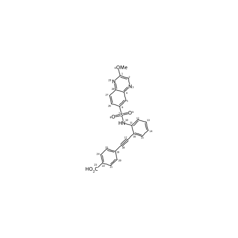 COc1cnc2cc(S(=O)(=O)Nc3ccccc3C#Cc3ccc(C(=O)O)cc3)ccc2n1